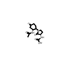 CC(=O)N[C@@H]1CC(=O)CCC1N1CC[C@H](NC(=O)O)C1=O